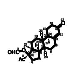 CC(=O)[C@@]1(OC=O)CC[C@H]2[C@@H]3CCC4=CC(=O)CC[C@]4(C)[C@H]3CC[C@@]21C